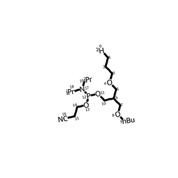 [2H]CCCOCC(COCCCC)COP(OCCC#N)N(C(C)C)C(C)C